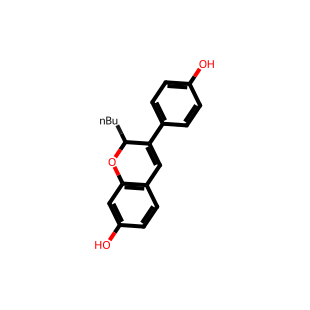 CCCCC1Oc2cc(O)ccc2C=C1c1ccc(O)cc1